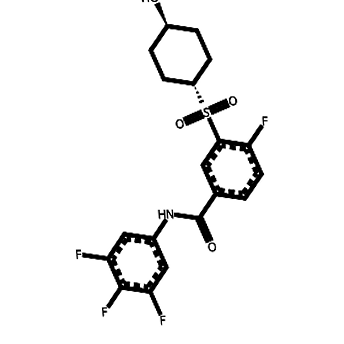 O=C(Nc1cc(F)c(F)c(F)c1)c1ccc(F)c(S(=O)(=O)[C@H]2CC[C@H](O)CC2)c1